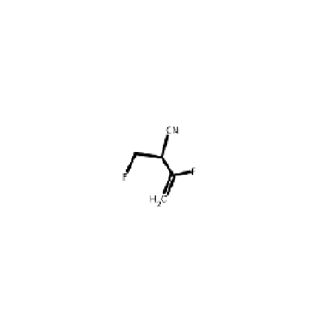 C=C(F)C(C#N)CF